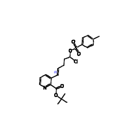 Cc1ccc(S(=O)(=O)OC(Cl)CC/C=C/c2cccnc2C(=O)OC(C)(C)C)cc1